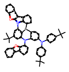 CC(C)(C)c1ccc(N(c2ccc(C(C)(C)C)cc2)c2ccc3c(c2)N(c2cccc4c2oc2ccccc24)c2cc(C(C)(C)C)cc4c2B3c2cccc3c5c6ccccc6oc5n-4c23)cc1